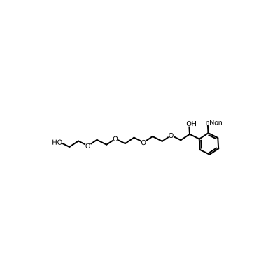 CCCCCCCCCc1ccccc1C(O)COCCOCCOCCOCCO